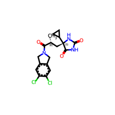 C[C@H](C[C@@]1(C2CC2)NC(=O)NC1=O)C(=O)N1Cc2cc(Cl)c(Cl)cc2C1